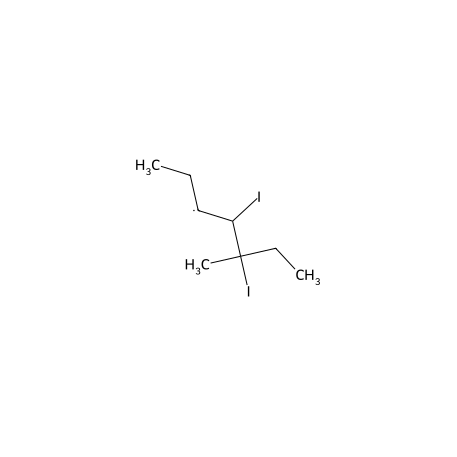 CC[CH]C(I)C(C)(I)CC